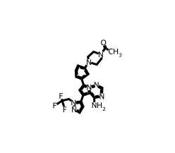 CC(=O)N1CCN(c2cccc(-c3cc(-c4ccnn4CC(F)(F)F)c4c(N)ncnn34)c2)CC1